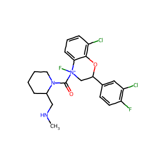 CNCC1CCCCN1C(=O)[N+]1(F)CC(c2ccc(F)c(Cl)c2)Oc2c(Cl)cccc21